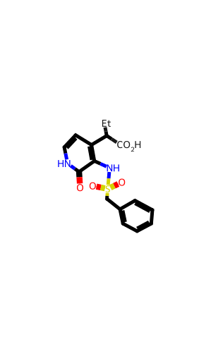 CCC(C(=O)O)c1cc[nH]c(=O)c1NS(=O)(=O)Cc1ccccc1